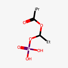 CCC(OC(=O)C(C)C)OP(=O)(O)O